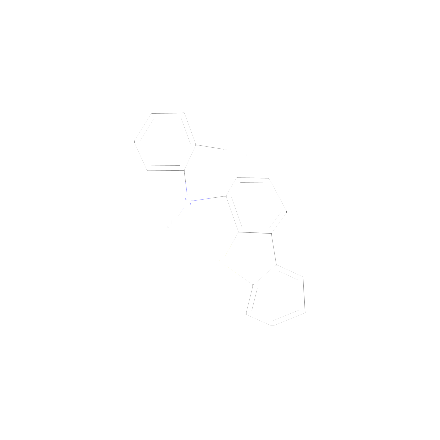 Cc1ccccc1N(C)c1cccc2c1sc1ccccc12